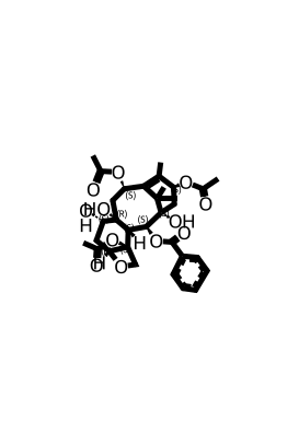 CC(=O)O[C@H]1C[C@@]2(O)[C@@H](OC(=O)c3ccccc3)[C@H]3[C@](O)(C[C@H](OC(C)=O)C(=C1C)C2(C)C)[C@@H](O)C[C@H]1OC[C@]13OC(C)=O